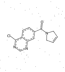 O=C(c1ccc2c(Cl)ncnc2c1)N1CC=CC1